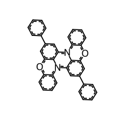 c1ccc(-c2cc3oc4ccccc4n4c5cc(-c6ccccc6)cc6oc7ccccc7n(c(c2)c3-4)-c65)cc1